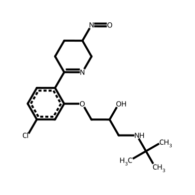 CC(C)(C)NCC(O)COc1cc(Cl)ccc1C1=NCC(N=O)CC1